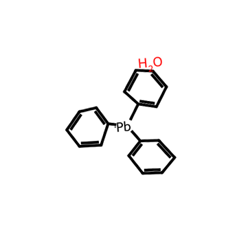 O.c1cc[c]([Pb]([c]2ccccc2)[c]2ccccc2)cc1